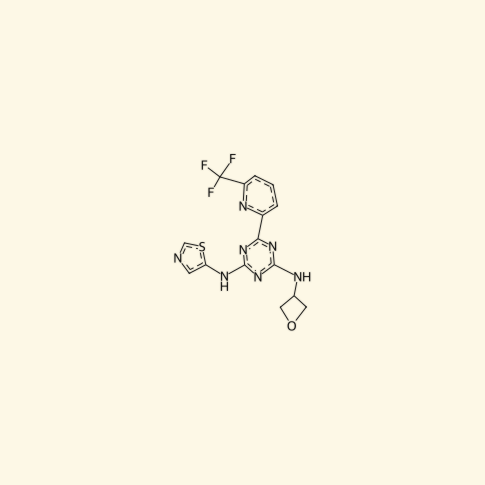 FC(F)(F)c1cccc(-c2nc(Nc3cncs3)nc(NC3COC3)n2)n1